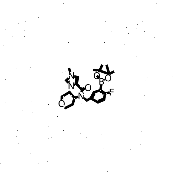 Cn1cnc(C(=O)N(Cc2ccc(F)c(B3OC(C)(C)C(C)(C)O3)c2)C2CCOCC2)c1